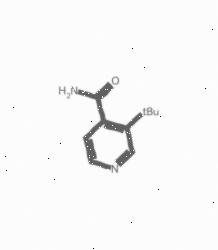 CC(C)(C)c1cnccc1C(N)=O